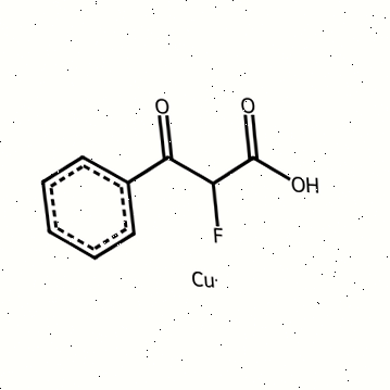 O=C(O)C(F)C(=O)c1ccccc1.[Cu]